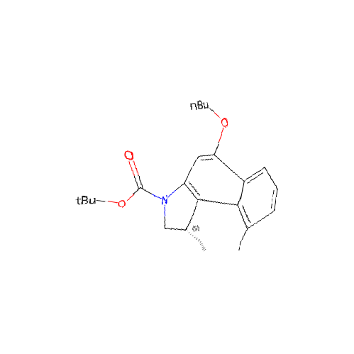 CCCCOc1cc2c(c3c(C)cccc13)[C@H](C)CN2C(=O)OC(C)(C)C